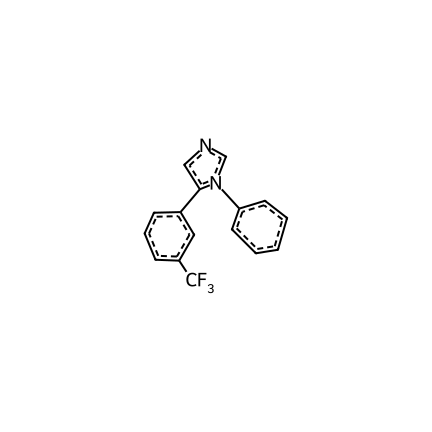 FC(F)(F)c1cccc(-c2cncn2-c2ccccc2)c1